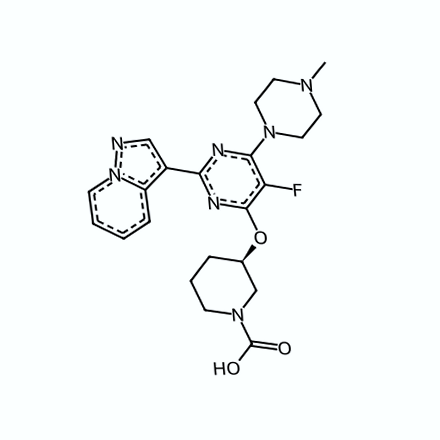 CN1CCN(c2nc(-c3cnn4ccccc34)nc(O[C@@H]3CCCN(C(=O)O)C3)c2F)CC1